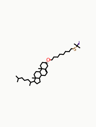 CC(C)CCCC(C)C1CCC2C3CC=C4C[C@@H](OCCCCCCCCSC(C)(C)I)CCC4(C)C3CCC12C